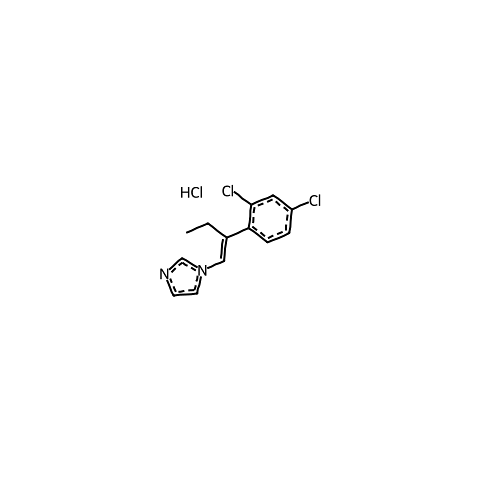 CCC(=Cn1ccnc1)c1ccc(Cl)cc1Cl.Cl